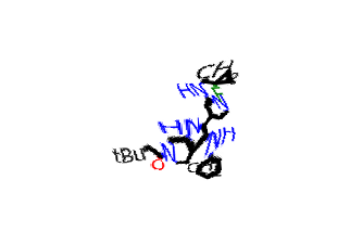 C=C1CN(C(=O)CC(C)(C)C)Cc2[nH]c(-c3ccnc(NC(=C)C4(F)CC4)c3)c(Nc3ccccc3)c21